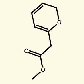 COC(=O)CC1=CC=CCO1